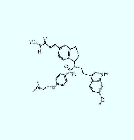 COc1ccc2c(CCN(C3CCc4cc(/C=C/C(=O)NO)ccc43)S(=O)(=O)c3ccc(OCCN(C)C)cc3)c[nH]c2c1